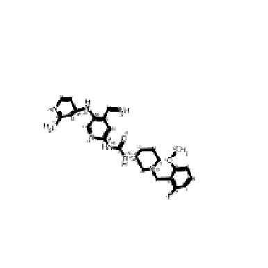 COc1cccc(F)c1CN1CCC[C@@H](NC(=O)Nc2cc(C=N)c(Nc3ccnc(C)c3)cn2)C1